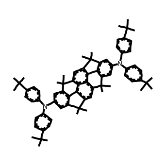 CC(C)(C)c1ccc(N(c2ccc(C(C)(C)C)cc2)c2cc3c4c(c2)C(C)(C)c2cc5c6c7c(cc(c-4c27)C3(C)C)C(C)(C)c2cc(N(c3ccc(C(C)(C)C)cc3)c3ccc(C(C)(C)C)cc3)cc(c2-6)C5(C)C)cc1